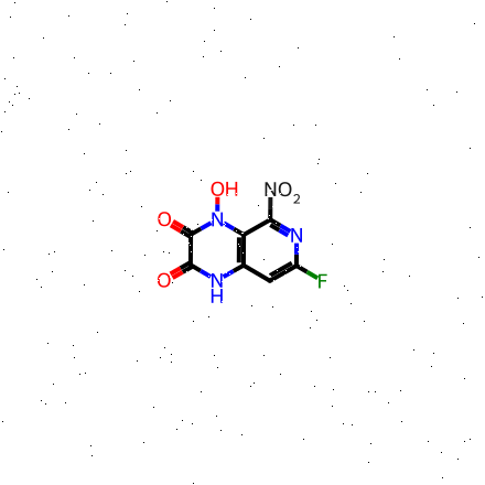 O=c1[nH]c2cc(F)nc([N+](=O)[O-])c2n(O)c1=O